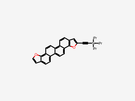 CC(C)[Si](C#Cc1cc2ccc3c4ccc5c(ccc6ccoc65)c4ccc3c2o1)(C(C)C)C(C)C